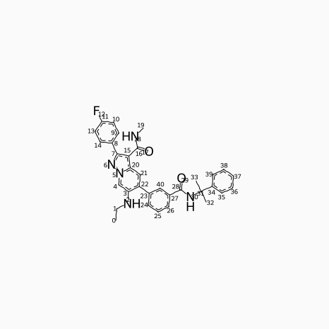 CCNc1cn2nc(-c3ccc(F)cc3)c(C(=O)NC)c2cc1-c1cccc(C(=O)NC(C)(C)c2ccccc2)c1